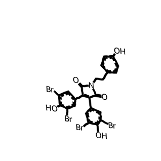 O=C1C(c2cc(Br)c(O)c(Br)c2)=C(c2cc(Br)c(O)c(Br)c2)C(=O)N1CCc1ccc(O)cc1